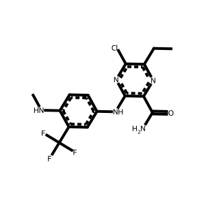 CCc1nc(C(N)=O)c(Nc2ccc(NC)c(C(F)(F)F)c2)nc1Cl